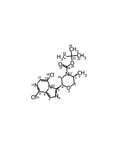 C[C@H]1CO[C@@H](c2ncc3c(Cl)ncc(Cl)n23)CN1C(=O)OC(C)(C)C